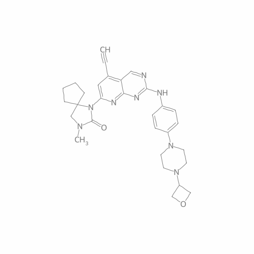 C#Cc1cc(N2C(=O)N(C)CC23CCCC3)nc2nc(Nc3ccc(N4CCN(C5COC5)CC4)cc3)ncc12